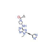 CCn1c(C#Cc2cncnc2)nc2c(NC3CCN(C(=O)C4CC4)C3)ncnc21